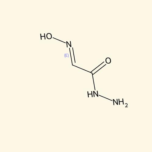 NNC(=O)/C=N/O